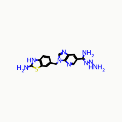 NN/N=C(\N)c1cnc2c(c1)ncn2Cc1ccc2c(c1)SC(N)N2